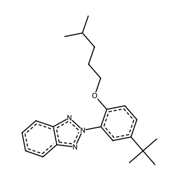 CC(C)CCCOc1ccc(C(C)(C)C)cc1-n1nc2ccccc2n1